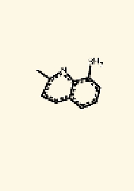 Bc1cccc2ccc(C)nc12